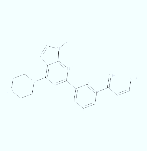 CCn1cnc2c(N3CCOCC3)nc(-c3cccc(C(=N)/C=C\NC)c3)nc21